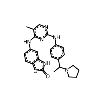 Cc1cnc(Nc2ccc(C(C)N3CCCC3)cc2)nc1Nc1ccc2oc(=O)[nH]c2c1